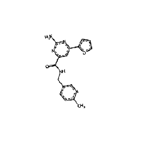 Cc1ccc(CNC(=O)c2cc(-c3ccco3)nc(N)n2)cn1